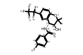 CC1(C)Oc2ccc(C(F)(F)C(F)(F)F)cc2[C@@H](NC(=O)c2ccc(F)cc2)[C@@H]1O